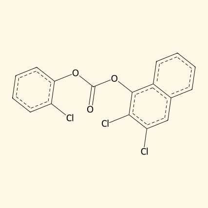 O=C(Oc1ccccc1Cl)Oc1c(Cl)c(Cl)cc2ccccc12